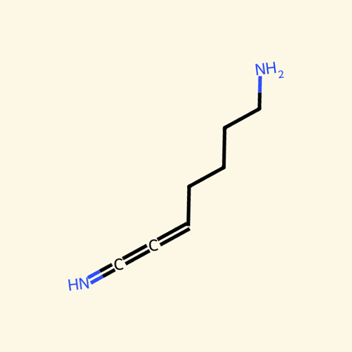 N=C=C=CCCCCN